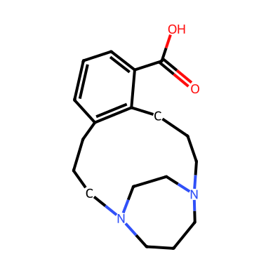 O=C(O)c1cccc2c1CCCN1CCCN(CCC2)CC1